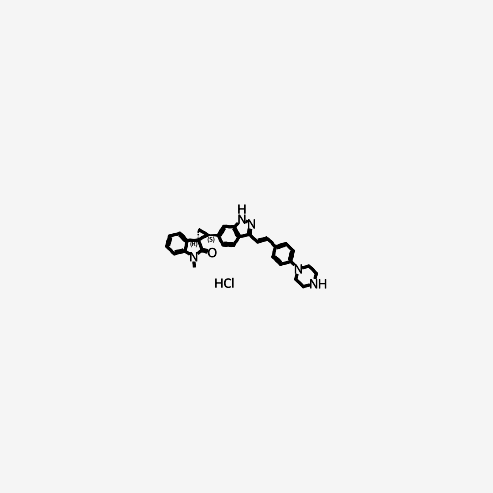 CN1C(=O)[C@@]2(C[C@H]2c2ccc3c(C=Cc4ccc(N5CCNCC5)cc4)n[nH]c3c2)c2ccccc21.Cl